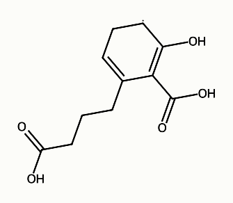 O=C(O)CCCC1=CC[CH]C(O)=C1C(=O)O